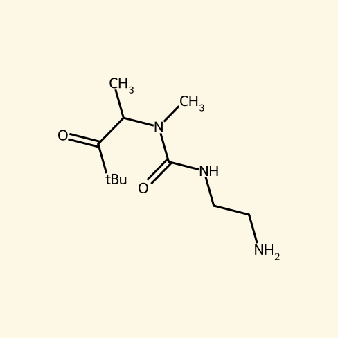 CC(C(=O)C(C)(C)C)N(C)C(=O)NCCN